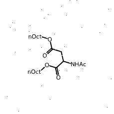 CCCCCCCCOC(=O)CC(NC(C)=O)C(=O)OCCCCCCCC